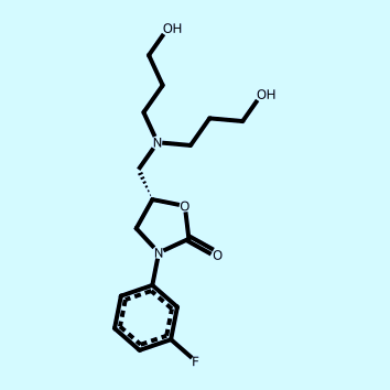 O=C1O[C@@H](CN(CCCO)CCCO)CN1c1cccc(F)c1